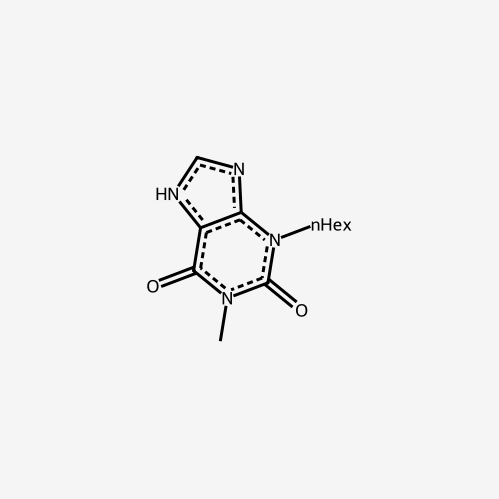 CCCCCCn1c(=O)n(C)c(=O)c2[nH]cnc21